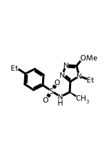 CCc1ccc(S(=O)(=O)N[C@H](C)c2nnc(OC)n2CC)cc1